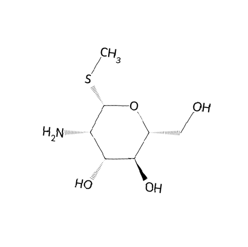 CS[C@@H]1O[C@H](CO)[C@@H](O)[C@H](O)[C@@H]1N